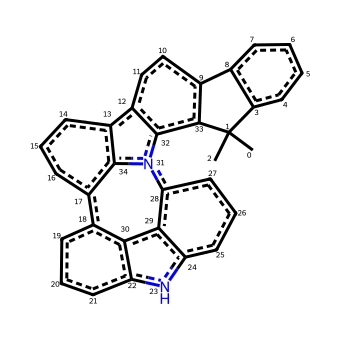 CC1(C)c2ccccc2-c2ccc3c4cccc5c6cccc7[nH]c8cccc(c8c76)n(c3c21)c54